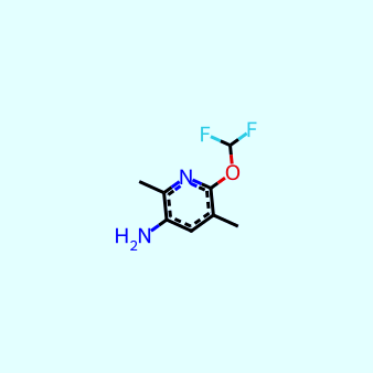 Cc1cc(N)c(C)nc1OC(F)F